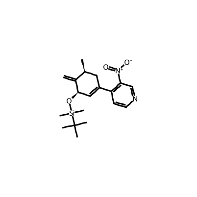 C=C1[C@@H](C)CC(c2ccncc2[N+](=O)[O-])=C[C@H]1O[Si](C)(C)C(C)(C)C